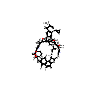 CO[C@H]1/C=C/O[C@@]2(C)Oc3c(C)c(O)c4c(c3/C2=N/OCC(=O)N2CCN(c3cc5c(cc3F)c(=O)c(C(=O)O)cn5C3CC3)CC2)C(=O)C(N2CCOCC2)=C(NC(=O)/C(C)=C\C=C\[C@H](C)[C@H](O)[C@@H](C)[C@@H](O)[C@@H](C)[C@H](OC(C)=O)[C@@H]1C)C4=O